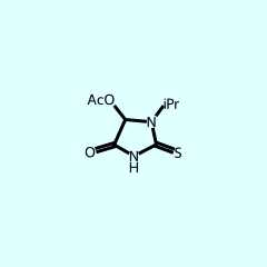 CC(=O)OC1C(=O)NC(=S)N1C(C)C